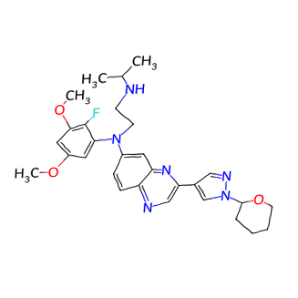 COc1cc(OC)c(F)c(N(CCNC(C)C)c2ccc3ncc(-c4cnn(C5CCCCO5)c4)nc3c2)c1